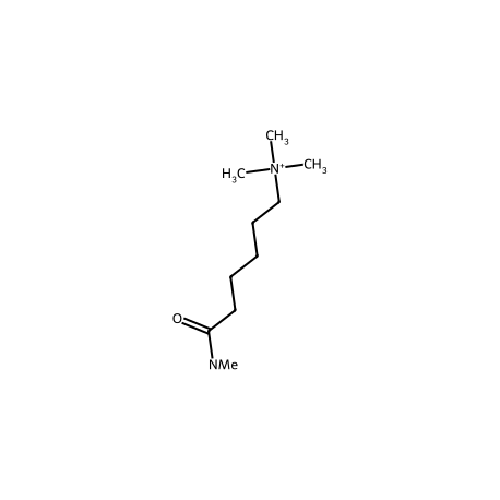 [CH2]NC(=O)CCCCC[N+](C)(C)C